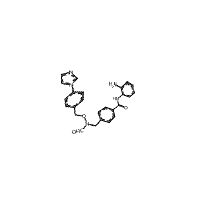 Nc1ccccc1NC(=O)c1ccc(CN(C=O)OCc2ccc(-n3ccnc3)cc2)cc1